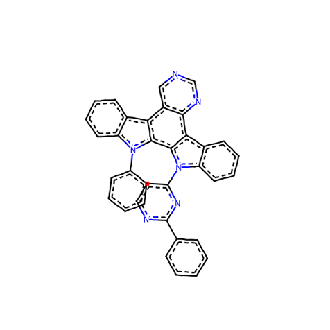 c1ccc(-c2nccc(-n3c4ccccc4c4c5ncncc5c5c6ccccc6n(-c6ccccc6)c5c43)n2)cc1